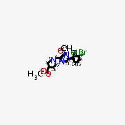 COC(=O)C1CCN(Cc2ncc(-c3cccc(Br)c3Cl)nc2OC)CC1